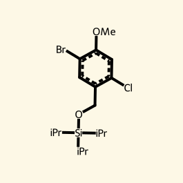 COc1cc(Cl)c(CO[Si](C(C)C)(C(C)C)C(C)C)cc1Br